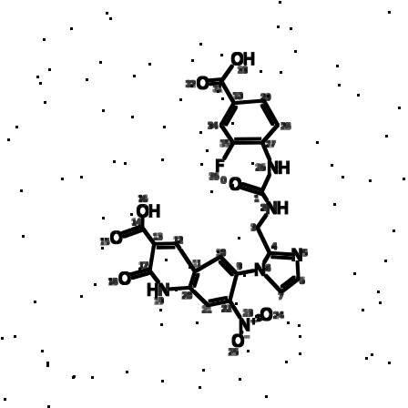 O=C(NCc1nccn1-c1cc2cc(C(=O)O)c(=O)[nH]c2cc1[N+](=O)[O-])Nc1ccc(C(=O)O)cc1F